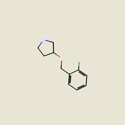 Clc1ccccc1COC1CCNC1